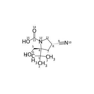 CC(C)(C)[C@@]1(CO)C[C@@H](C#N)CN1C(=O)O